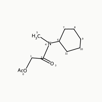 CC(=O)OCC(=O)N(C)C1CCCCC1